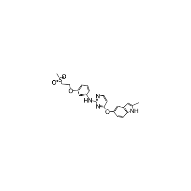 Cc1cc2cc(Oc3ccnc(Nc4cccc(OCCS(C)(=O)=O)c4)n3)ccc2[nH]1